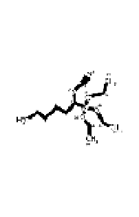 CCCCCC(SC#N)[Si](OCC)(OCC)OCC